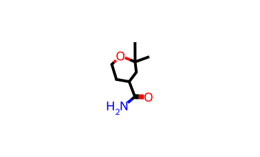 CC1(C)CC(C(N)=O)CCO1